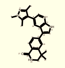 Cc1nn(C)c(C)c1-c1cnc2[nH]cc(-c3ccc4c(c3)C(C)(C)CNC4=O)c2c1